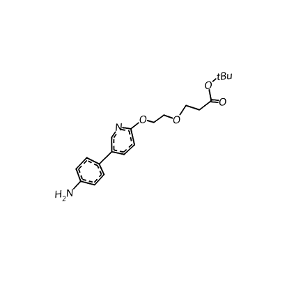 CC(C)(C)OC(=O)CCOCCOc1ccc(-c2ccc(N)cc2)cn1